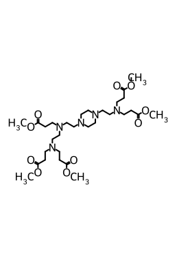 COC(=O)CCN(CCC(=O)OC)CCN(CCC(=O)OC)CCN1CCN(CCN(CCC(=O)OC)CCC(=O)OC)CC1